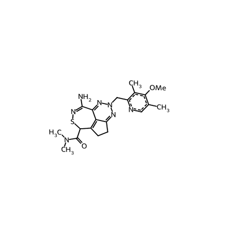 COc1c(C)cnc(CN2N=C3CCC4=C3C(=N2)C(N)=NSC4C(=O)N(C)C)c1C